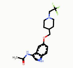 CC(=O)Nc1c[nH]c2ccc(OCC3CCN(CC(F)(F)F)CC3)cc12